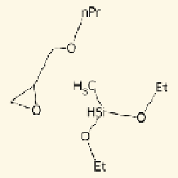 CCO[SiH](C)OCC.[CH2]CCOCC1CO1